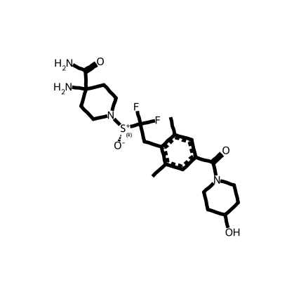 Cc1cc(C(=O)N2CCC(O)CC2)cc(C)c1CC(F)(F)[S@+]([O-])N1CCC(N)(C(N)=O)CC1